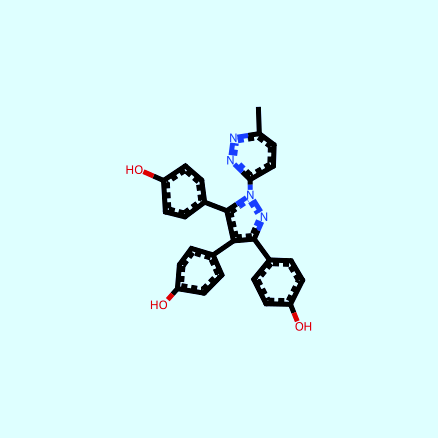 Cc1ccc(-n2nc(-c3ccc(O)cc3)c(-c3ccc(O)cc3)c2-c2ccc(O)cc2)nn1